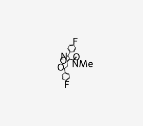 CNC(=O)c1c(-c2ccc(F)cc2)noc1CC(=O)c1ccc(F)cc1